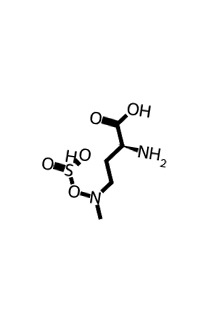 CN(CC[C@H](N)C(=O)O)O[SH](=O)=O